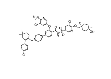 CC1(C)CCC(CN2CCN(c3ccc(C(=O)NS(=O)(=O)c4cnc(OC[C@]5(F)CC[C@](C)(O)CC5)c(Cl)c4)c(Oc4cnc(N)c(Cl)c4)c3)CC2)=C(c2ccc(Cl)cc2)C1